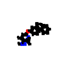 CNc1c(C)cc(Oc2ccc(-c3ccccc3C)c(C)c2)nc1C